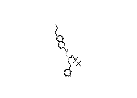 CCCc1ccc2cc(OC[C@@H](CCc3cccnc3)O[Si](C)(C)C(C)(C)C)ccc2c1